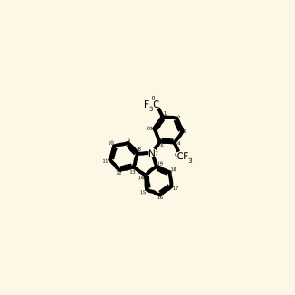 FC(F)(F)c1ccc(C(F)(F)F)c(-n2c3ccccc3c3ccccc32)c1